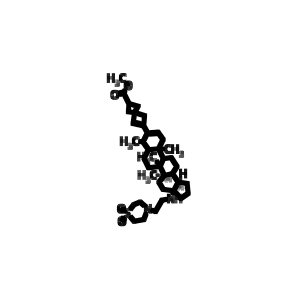 COC(=O)C1CC2(C=C(C3=CCC4(C)C(CCC5(C)C4CCC4[C@H]6CCCC6(NCCN6CCS(=O)(=O)CC6)CC[C@]45C)C3C)C2)C1